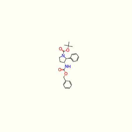 CC(C)(C)OC(=O)N1CC[C@@H](NC(=O)OCc2ccccc2)[C@@H]1c1ccccc1